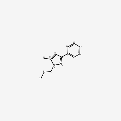 [CH2]CCn1nc(-c2ccccc2)cc1C